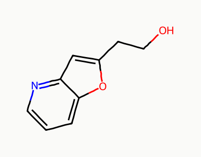 OCCc1cc2ncccc2o1